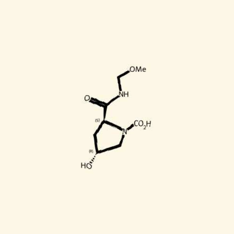 COCNC(=O)[C@@H]1C[C@@H](O)CN1C(=O)O